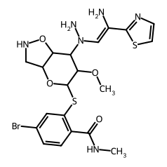 CNC(=O)c1ccc(Br)cc1SC1OC2CNOC2C(N(N)/C=C(\N)c2nccs2)C1OC